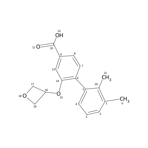 Cc1cccc(-c2ccc(C(=O)O)cc2OC2COC2)c1C